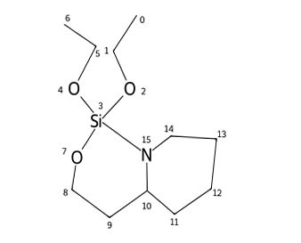 CCO[Si]1(OCC)OCCC2CCCCN21